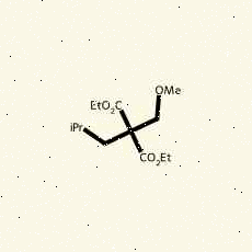 CCOC(=O)C(COC)(CC(C)C)C(=O)OCC